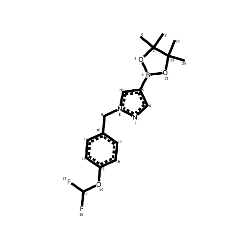 CC1(C)OB(c2cnn(Cc3ccc(OC(F)F)cc3)c2)OC1(C)C